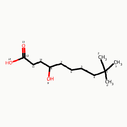 CC(C)(C)CCCCC(O)CCC(=O)O